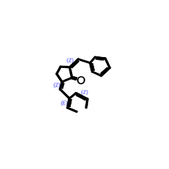 C\C=C/C(/C=C1/CC/C(=C/c2ccccc2)C1=O)=C\C